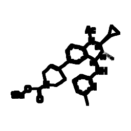 CC(=O)N1c2ccc(C3=CCN(C(=O)OC(C)(C)C)CC3)cc2[C@H](Nc2cccc(C)n2)[C@@H](C)[C@@H]1C1CC1